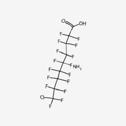 N.O=C(O)C(F)(F)C(F)(F)C(F)(F)C(F)(F)C(F)(F)C(F)(F)C(F)(F)C(F)(F)Cl